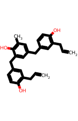 C=CCc1cc(Cc2cc(C)c(O)c(Cc3ccc(O)c(CC=C)c3)c2)ccc1O